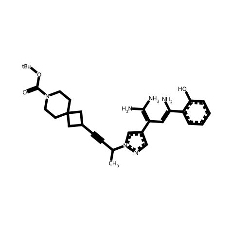 CC(C#CC1CC2(CCN(C(=O)OC(C)(C)C)CC2)C1)n1cc(C(/C=C(\N)c2ccccc2O)=C(N)N)cn1